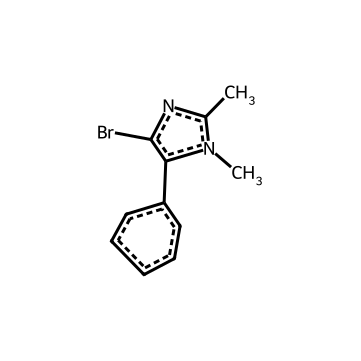 Cc1nc(Br)c(-c2ccccc2)n1C